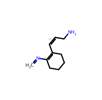 C=NC1=C(/C=C\CN)CCCC1